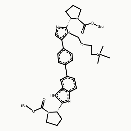 CC(C)(C)OC(=O)N1CCC[C@H]1c1nc2ccc(-c3ccc(-c4cnc([C@@H]5CCCN5C(=O)OC(C)(C)C)n4COCC[Si](C)(C)C)cc3)cc2[nH]1